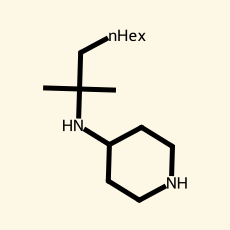 CCCCCCCC(C)(C)NC1CCNCC1